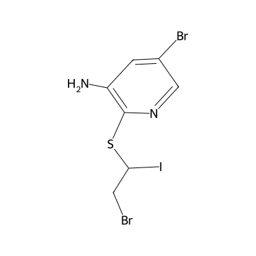 Nc1cc(Br)cnc1SC(I)CBr